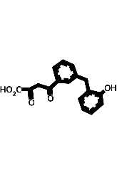 O=C(O)C(=O)CC(=O)c1cccc(Cc2ccccc2O)c1